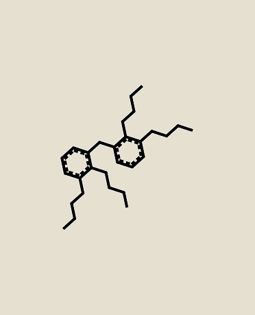 CCCCc1cccc(Cc2cccc(CCCC)c2CCCC)c1CCCC